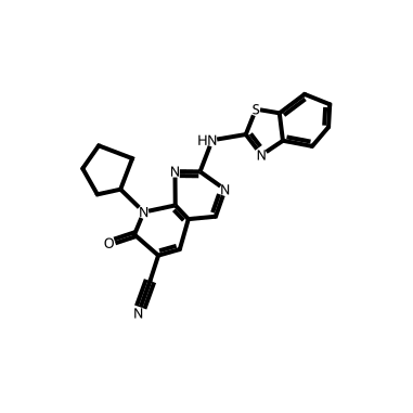 N#Cc1cc2cnc(Nc3nc4ccccc4s3)nc2n(C2CCCC2)c1=O